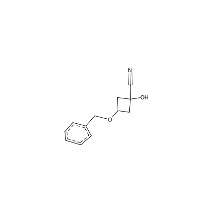 N#CC1(O)CC(OCc2ccccc2)C1